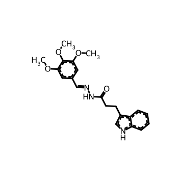 COc1cc(C=NNC(=O)CCc2c[nH]c3ccccc23)cc(OC)c1OC